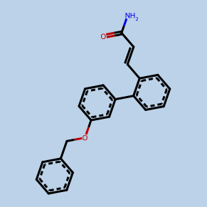 NC(=O)C=Cc1ccccc1-c1cccc(OCc2ccccc2)c1